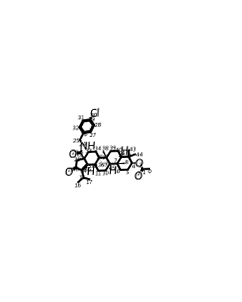 CC(=O)O[C@H]1CC[C@]2(C)[C@H]3CC[C@@H]4C5=C(C(C)C)C(=O)C[C@]5(C(=O)NCc5ccc(Cl)cc5)CC[C@@]4(C)[C@]3(C)CC[C@H]2C1(C)C